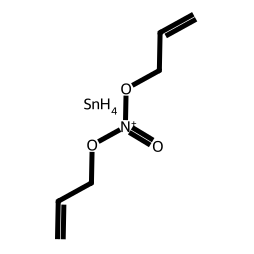 C=CCO[N+](=O)OCC=C.[SnH4]